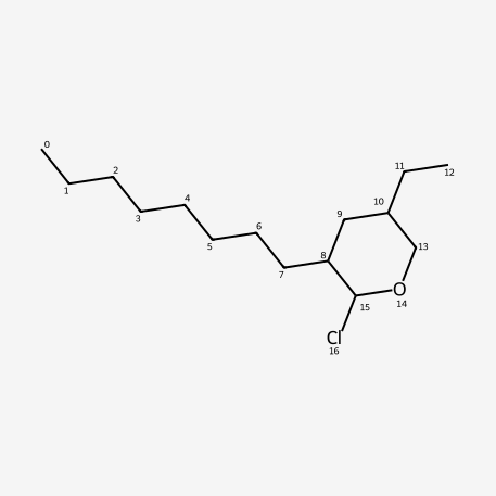 CCCCCCCCC1CC(CC)COC1Cl